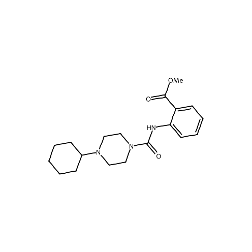 COC(=O)c1ccccc1NC(=O)N1CCN(C2CCCCC2)CC1